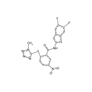 Cn1nnnc1Sc1ccc([N+](=O)[O-])cc1C(=O)Nc1cc2cc(F)c(F)cc2s1